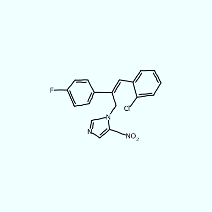 O=[N+]([O-])c1cncn1CC(=Cc1ccccc1Cl)c1ccc(F)cc1